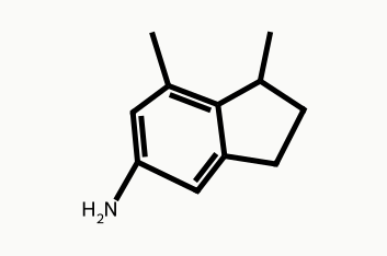 Cc1cc(N)cc2c1C(C)CC2